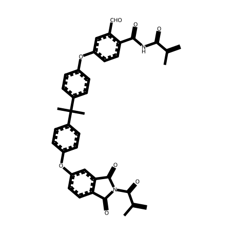 C=C(C)C(=O)NC(=O)c1ccc(Oc2ccc(C(C)(C)c3ccc(Oc4ccc5c(c4)C(=O)N(C(=O)C(=C)C)C5=O)cc3)cc2)cc1C=O